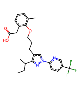 CCC(C)c1nn(-c2ccc(C(F)(F)F)cn2)cc1CCCOc1c(C)cccc1CC(=O)O